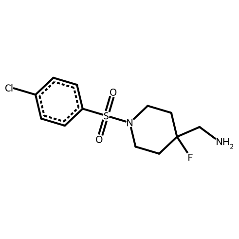 NCC1(F)CCN(S(=O)(=O)c2ccc(Cl)cc2)CC1